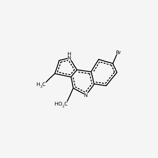 Cc1c[nH]c2c1c(C(=O)O)nc1ccc(Br)cc12